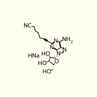 N#CCCCCC#Cc1nc(N)c2ncn([C@@H]3O[C@H](CO)[C@@H](O)[C@H]3O)c2n1.[NaH]